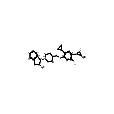 OC1OC1c1cc(C2CC2)c(OCC2CCN([C@@H]3c4ccccc4C[C@@H]3O)CC2)cc1F